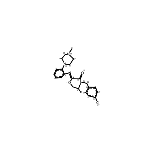 CC1CO/C(=C\c2ccccc2N2CCN(C)CC2)C(=O)N1Cc1ccc(Cl)cc1